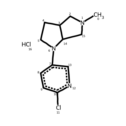 CN1CC2CCN(c3ccc(Cl)nc3)C2C1.Cl